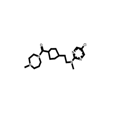 CN1CCCN(C(=O)C2CCC(CCN(C)c3ncc(Cl)cn3)CC2)CC1